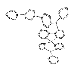 c1ccc(-c2ccc(-c3ccc(N(c4ccccc4)c4cccc5c4-c4ccccc4C54c5ccccc5N(c5ccccc5)c5ccccc54)cc3)cc2)cc1